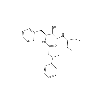 CCC(CC)NC[C@H](O)[C@H](Cc1ccccc1)NC(=O)CC(C)c1ccccc1